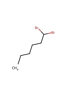 C.CCCCCC(Br)Br